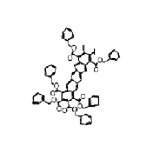 O=C(OCc1ccccc1)c1c(C(=O)OCc2ccccc2)c(C(=O)OCc2ccccc2)c2cc3cc4cc5c(C(=O)OCc6ccccc6)c(I)c(I)c(C(=O)OCc6ccccc6)c5cc4cc3cc2c1C(=O)OCc1ccccc1